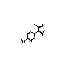 [2H]c1ccc(-c2c(C)noc2C)cn1